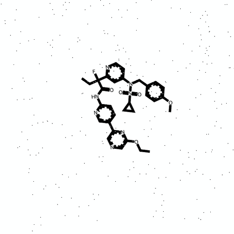 CCOc1cncc(-c2ccc(NC(=O)C(F)(CC)c3cc(N(Cc4ccc(OC)cc4)S(=O)(=O)C4CC4)ccn3)nc2)n1